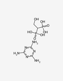 Nc1nc(N)nc(N)n1.O=P(O)(O)C(CO)P(=O)(O)O